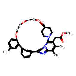 COC(=O)Cc1c(C)c(C)c2nc3cn2c1N1CCC(C)(CC1)OCCOCCOc1ccc(C)cc1-c1cccc-3c1